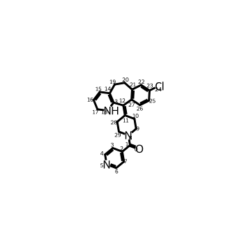 O=C(c1ccncc1)N1CCC(=C2C3=C(C=CCN3)CCc3cc(Cl)ccc32)CC1